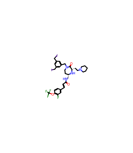 O=C(/C=C/c1ccc(OC(F)(F)F)c(F)c1)NC[C@@H]1CCN(Cc2cc(CI)cc(CI)c2)C(=O)[C@H](CCN2CCCCC2)N1